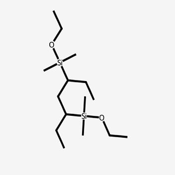 CCO[Si](C)(C)C(CC)CC(CC)[Si](C)(C)OCC